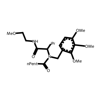 CCCCCC(=O)N(Cc1ccc(OC)c(OC)c1OC)C(C(=O)NCCOC)C(C)C